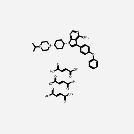 CC(C)N1CCN([C@H]2CC[C@@H](n3cc(-c4ccc(Oc5ccccc5)cc4)c4c(N)ncnc43)CC2)CC1.O=C(O)C=CC(=O)O.O=C(O)C=CC(=O)O.O=C(O)C=CC(=O)O